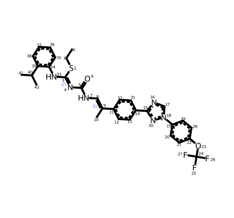 CCS/C(=N\C(=O)N/C=C(\C)c1ccc(-c2ncn(-c3ccc(OC(F)(F)F)cc3)n2)cc1)Nc1ccccc1C(C)C